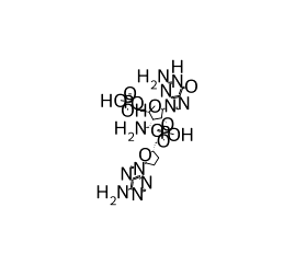 NC[C@H]1[C@@H](OP(=O)(O)OC[C@@H]2CC[C@H](n3cnc4c(N)ncnc43)O2)[C@H](n2cnc3c(=O)[nH]c(N)nc32)O[C@@H]1COP(=O)(O)O